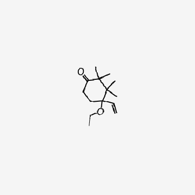 C=CC1(OCC)CCC(=O)C(C)(C)C1(C)C